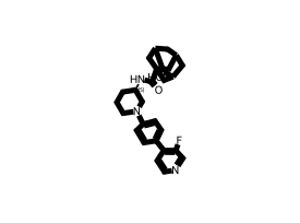 O=C(N[C@H]1CCCN(c2ccc(-c3ccncc3F)cc2)C1)C12CC3CC(C1)C(O)C(C3)C2